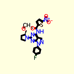 COC[C@@H]1CCCN1c1nc(NC(=O)c2ccc([N+](=O)[O-])s2)c2cnn(-c3ccc(F)cc3)c2n1